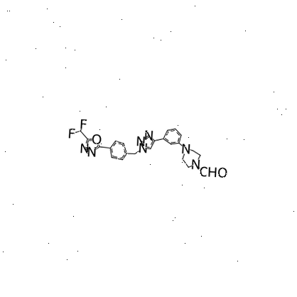 O=CN1CCN(c2cccc(-c3cn(Cc4ccc(-c5nnc(C(F)F)o5)cc4)nn3)c2)CC1